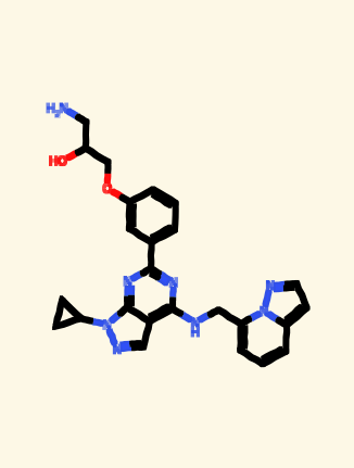 NCC(O)COc1cccc(-c2nc(NCc3cccc4ccnn34)c3cnn(C4CC4)c3n2)c1